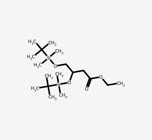 CCOC(=O)CC(CO[Si](C)(C)C(C)(C)C)O[Si](C)(C)C(C)(C)C